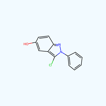 Oc1ccc2nn(-c3ccccc3)c(Cl)c2c1